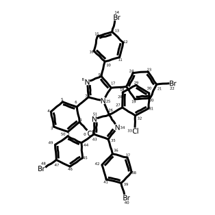 Clc1ccccc1-c1nc(-c2ccc(Br)cc2)c(-c2ccc(Br)cc2)n1C1(c2ccccc2Cl)N=C(c2ccc(Br)cc2)C(c2ccc(Br)cc2)=N1